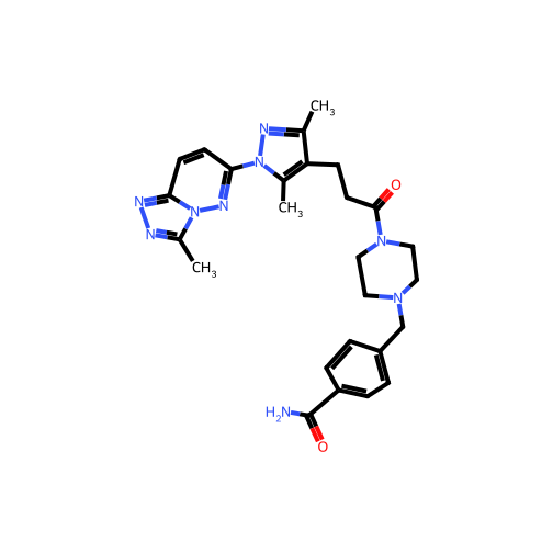 Cc1nn(-c2ccc3nnc(C)n3n2)c(C)c1CCC(=O)N1CCN(Cc2ccc(C(N)=O)cc2)CC1